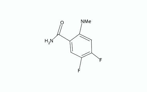 CNc1cc(F)c(F)cc1C(N)=O